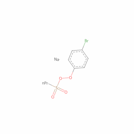 CCCS(=O)(=O)OOc1ccc(Br)cc1.[Na]